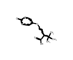 CC(C)(C)C(CCOc1cnc(Cl)nc1)C(=O)O